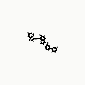 Cc1ccc2c(Nc3cccc(-c4ccccc4)c3)noc2c1C#Cc1cnc2cccnn12